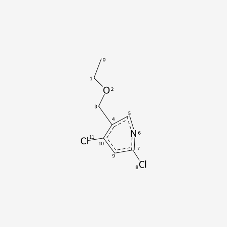 CCOCc1cnc(Cl)cc1Cl